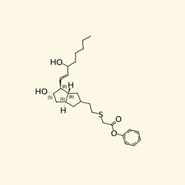 CCCCCC(O)C=C[C@H]1[C@@H]2CC(CCSCC(=O)Oc3ccccc3)C[C@H]2C[C@@H]1O